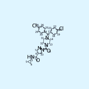 O=C(NC1CC1)c1cnn(C(=O)N2CCN(C(c3ccc(Cl)cc3)c3ccc(Cl)cc3)CC2)c1